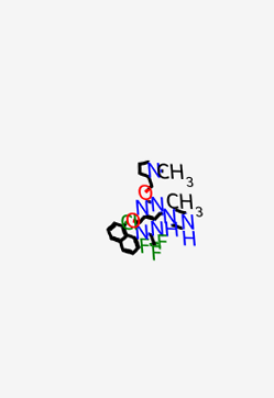 CC1CNCCN1c1nc(OCC2CCCN2C)nc2c1NC(C(F)(F)F)N(c1cccc3cccc(Cl)c13)C2=O